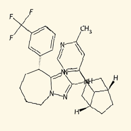 Cc1cc(N2C[C@H]3CC[C@@H](C2)C3Nc2nc3n(n2)CCCC[C@@H]3c2cccc(C(F)(F)F)c2)ncn1